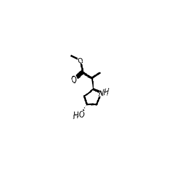 COC(=O)C(C)[C@@H]1C[C@@H](O)CN1